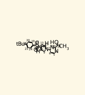 C[C@@H](O)c1nccc(N2C[C@@H]3C[C@H]2CN3S(=O)(=O)c2ccc(C(C)(C)C)cc2)n1